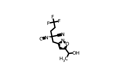 [C-]#[N+]C(C#N)(CCC(F)(F)F)Cc1cc(C(C)O)on1